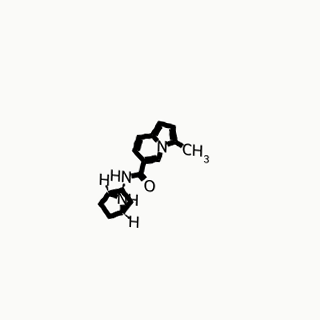 Cc1ccc2ccc(C(=O)N[C@@H]3C[C@H]4CC[C@@H]3N4)cn12